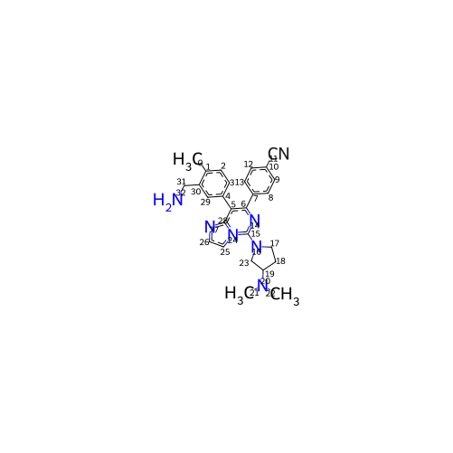 Cc1ccc(-c2c(-c3ccc(C#N)cc3)nc(N3CCC(N(C)C)C3)n3ccnc23)cc1CN